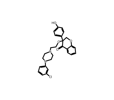 O=C1c2ccccc2OCC1(OCCN1CCN(c2cccc(Cl)c2)CC1)c1ccc(O)cc1